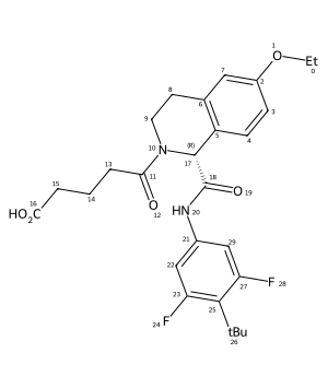 CCOc1ccc2c(c1)CCN(C(=O)CCCC(=O)O)[C@H]2C(=O)Nc1cc(F)c(C(C)(C)C)c(F)c1